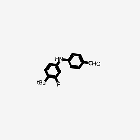 CC(C)(C)c1ccc(Nc2ccc(C=O)cc2)cc1F